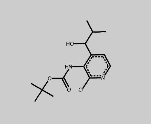 CC(C)C(O)c1ccnc(Cl)c1NC(=O)OC(C)(C)C